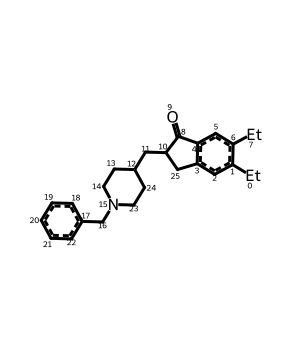 CCc1cc2c(cc1CC)C(=O)C(CC1CCN(Cc3ccccc3)CC1)C2